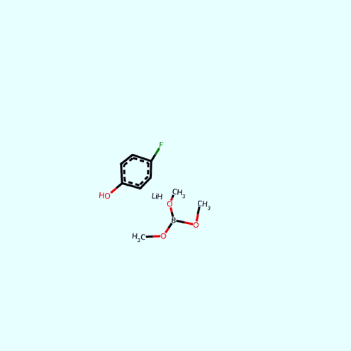 COB(OC)OC.Oc1ccc(F)cc1.[LiH]